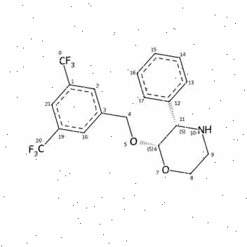 FC(F)(F)c1cc(CO[C@H]2OCCN[C@H]2c2ccccc2)cc(C(F)(F)F)c1